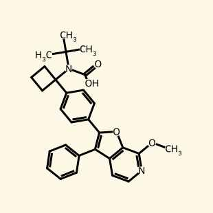 COc1nccc2c(-c3ccccc3)c(-c3ccc(C4(N(C(=O)O)C(C)(C)C)CCC4)cc3)oc12